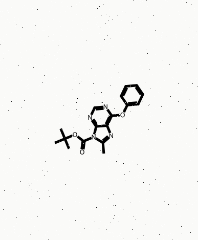 Cc1nc2c(Oc3ccccc3)ncnc2n1C(=O)OC(C)(C)C